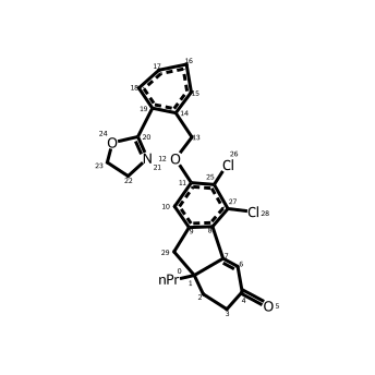 CCCC12CCC(=O)C=C1c1c(cc(OCc3ccccc3C3=NCCO3)c(Cl)c1Cl)C2